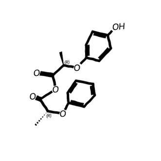 C[C@@H](Oc1ccccc1)C(=O)OC(=O)[C@@H](C)Oc1ccc(O)cc1